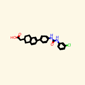 O=C(O)CC1CCc2cc(-c3ccc(NC(=O)Nc4cccc(Cl)c4)cc3)ccc2C1